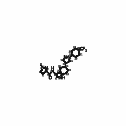 Cn1ccc(C(=O)Nc2c[nH]c3ccc(-c4cnn(-c5ccc(C(F)(F)F)cc5)c4)cc23)n1